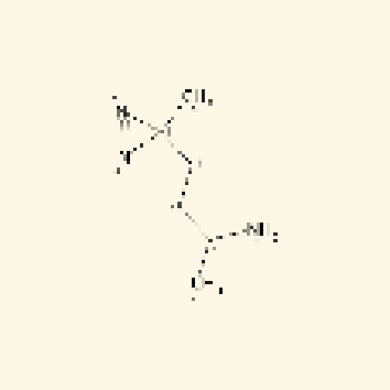 CC(N)CCC1(C)N=N1